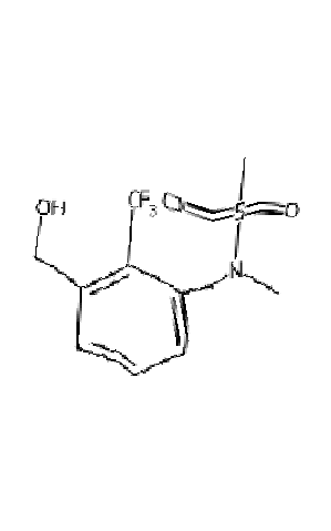 CN(c1cccc(CO)c1C(F)(F)F)S(C)(=O)=O